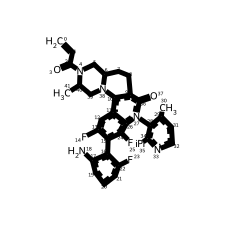 C=CC(=O)N1CC2CCc3c(c4cc(F)c(-c5c(N)cccc5F)c(F)c4n(-c4c(C)ccnc4C(C)C)c3=O)N2CC1C